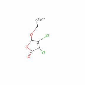 CCCCCCOC1OC(=O)C(Cl)=C1Cl